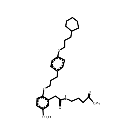 CCOC(=O)c1ccc(OCCCc2ccc(OCCCC3CCCCC3)cc2)c(CC(=O)NCCCC(=O)OC)c1